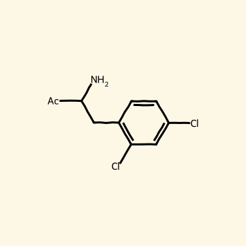 CC(=O)C(N)Cc1ccc(Cl)cc1Cl